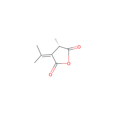 CC(C)=C1C(=O)OC(=O)[C@H]1C